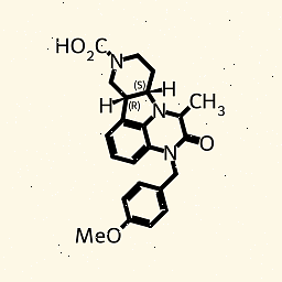 COc1ccc(CN2C(=O)C(C)N3c4c(cccc42)[C@@H]2CN(C(=O)O)CC[C@@H]23)cc1